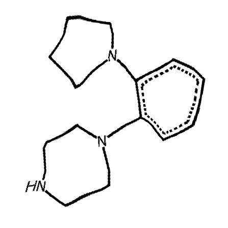 c1ccc(N2CCNCC2)c(N2CCCC2)c1